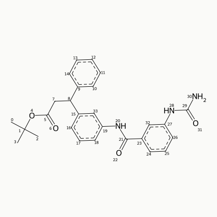 CC(C)(C)OC(=O)CC(c1ccccc1)c1cccc(NC(=O)c2cccc(NC(N)=O)c2)c1